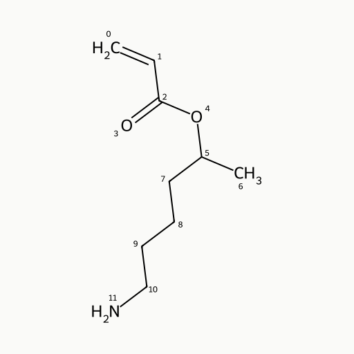 C=CC(=O)OC(C)CCCCN